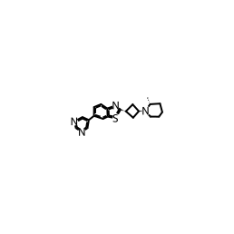 C[C@@H]1CCCCN1[C@H]1C[C@@H](c2nc3ccc(-c4cncnc4)cc3s2)C1